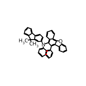 CC1(C)c2ccccc2-c2ccc(N(c3ccccc3)c3c(-c4ccccc4)c4c5ccccc5oc4c4ccccc34)cc21